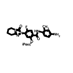 CCCC(C)Oc1cc(-n2nc3n(c2=O)CCCC3)c(F)cc1C(=O)Nc1ccc(N)cc1C